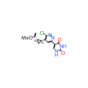 C=C(OC)[C@H]1C[C@@H]1c1cc(-c2c[nH]c(=O)[nH]c2=O)nnc1Cl